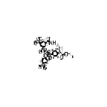 CC(=O)Nc1ccc(S(=O)(=O)Nc2ccc([N+](=O)[O-])cc2)cc1.NC(=O)c1cc([N+](=O)[O-])cc([N+](=O)[O-])c1